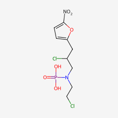 O=[N+]([O-])c1ccc(CC(Cl)CN(CCCl)P(=O)(O)O)o1